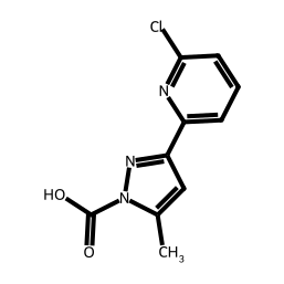 Cc1cc(-c2cccc(Cl)n2)nn1C(=O)O